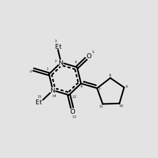 C=c1n(CC)c(=O)c(=C2CCCC2)c(=O)n1CC